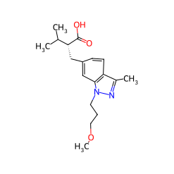 COCCCn1nc(C)c2ccc(C[C@@H](C(=O)O)C(C)C)cc21